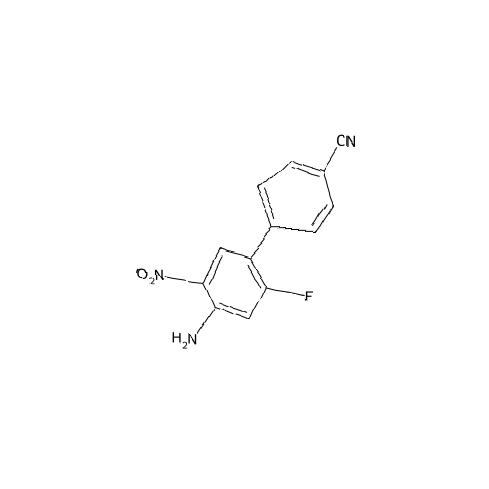 N#Cc1ccc(-c2cc([N+](=O)[O-])c(N)cc2F)cc1